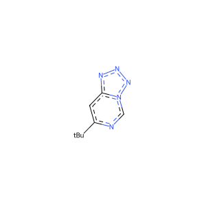 CC(C)(C)c1cc2nnnn2cn1